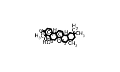 CC1(C)CC[C@]2(C)CC[C@]3(C)C(=CC[C@@H]4[C@@]5(C)CCC(=O)C(C)(C)[C@@H]5[C@H](O)C[C@]43C)[C@@H]2C1